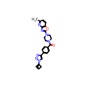 Cc1ccc2oc(N3CCN(C(=O)c4ccc(-c5cn(C67CC(C6)C7)nn5)cc4)CC3)nc2n1